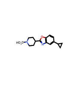 O=C(O)N1CCC(c2nc3cc(C4CC4)ccc3o2)CC1